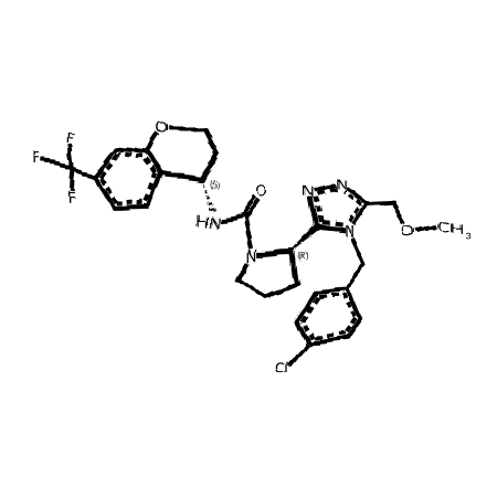 COCc1nnc([C@H]2CCCN2C(=O)N[C@H]2CCOc3cc(C(F)(F)F)ccc32)n1Cc1ccc(Cl)cc1